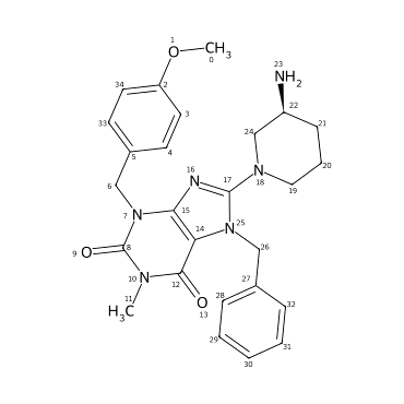 COc1ccc(Cn2c(=O)n(C)c(=O)c3c2nc(N2CCC[C@H](N)C2)n3Cc2ccccc2)cc1